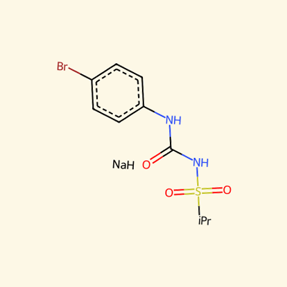 CC(C)S(=O)(=O)NC(=O)Nc1ccc(Br)cc1.[NaH]